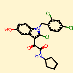 O=C(NC1CCCC1)C(=O)c1c(Cl)n(Cc2ccc(Cl)cc2Cl)c2ccc(O)cc12